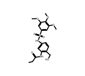 CCC(=O)Nc1cc(NS(=O)(=O)c2cc(OC)c(OC)c(OC)c2)ccc1CO